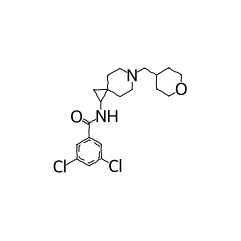 O=C(NC1CC12CCN(CC1CCOCC1)CC2)c1cc(Cl)cc(Cl)c1